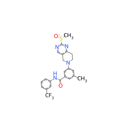 Cc1cc(C(=O)Nc2cccc(C(F)(F)F)c2)cc(N2CCc3nc([S+](C)[O-])ncc3C2)c1